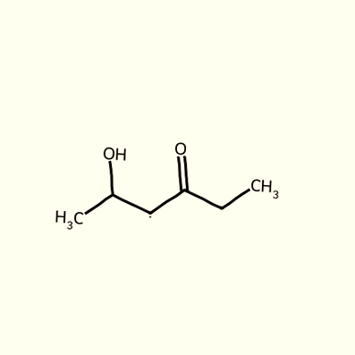 CCC(=O)[CH]C(C)O